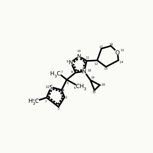 Cc1ccc(C(C)(C)c2nnc(C3CCOCC3)n2C2CC2)s1